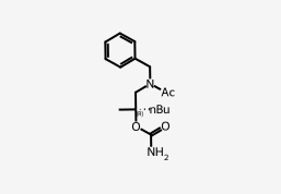 CCCC[C@](C)(CN(Cc1ccccc1)C(C)=O)OC(N)=O